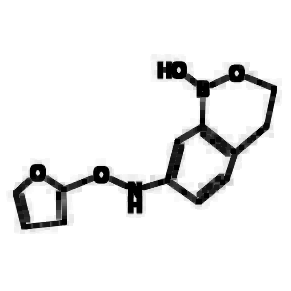 OB1OCCc2ccc(NOc3ccco3)cc21